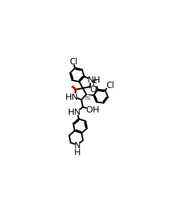 O=C1Nc2cc(Cl)ccc2C12[C@@H](c1cccc(Cl)c1F)C(C(O)Nc1ccc3c(c1)CCNC3)NC21CCCCC1